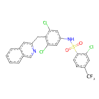 O=S(=O)(Nc1cc(Cl)c(Cc2cc3ccccc3cn2)c(Cl)c1)c1ccc(C(F)(F)F)cc1Cl